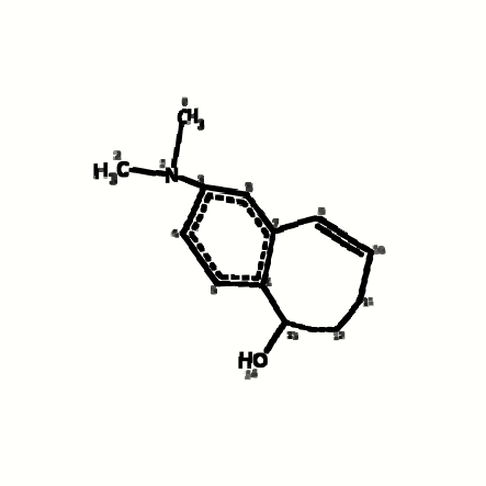 CN(C)c1ccc2c(c1)C=CCCC2O